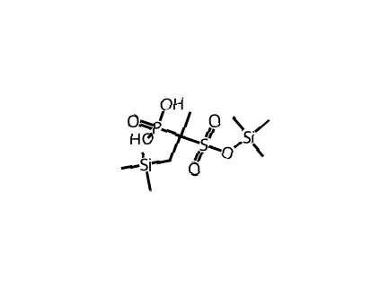 CC(C[Si](C)(C)C)(P(=O)(O)O)S(=O)(=O)O[Si](C)(C)C